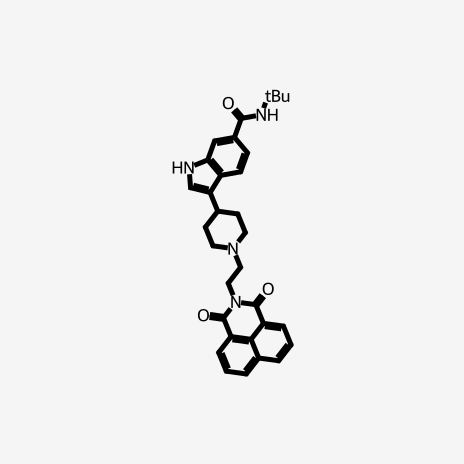 CC(C)(C)NC(=O)c1ccc2c(C3CCN(CCN4C(=O)c5cccc6cccc(c56)C4=O)CC3)c[nH]c2c1